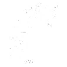 COc1cccc2c1ccn2C(=O)c1ccc(C2=NOC(c3cc(Cl)cc(Cl)c3)(C(F)(F)F)C2)cc1